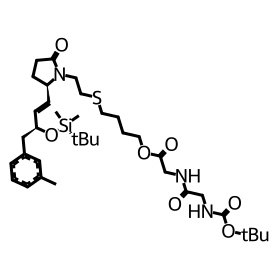 Cc1cccc(C[C@@H](/C=C/[C@H]2CCC(=O)N2CCSCCCCOC(=O)CNC(=O)CNC(=O)OC(C)(C)C)O[Si](C)(C)C(C)(C)C)c1